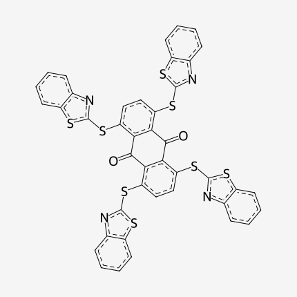 O=C1c2c(Sc3nc4ccccc4s3)ccc(Sc3nc4ccccc4s3)c2C(=O)c2c(Sc3nc4ccccc4s3)ccc(Sc3nc4ccccc4s3)c21